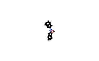 COC1(N=NC2Cc3ccccc3C2)Cc2ccccc2C1